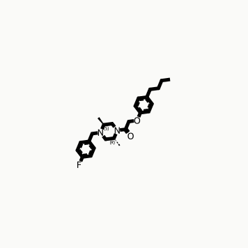 CCCCc1ccc(OCC(=O)N2C[C@H](C)N(Cc3ccc(F)cc3)C[C@H]2C)cc1